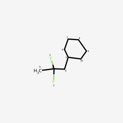 CC(F)(F)CC1CCCCC1